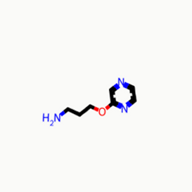 NCCCOc1cnccn1